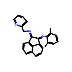 Cc1cccc(C)c1/N=C1/C(=N/Cc2ccccn2)c2cccc3cccc1c23